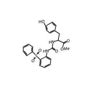 COC(=O)C(Cc1ccc(O)cc1)NC(=O)Nc1ccccc1S(=O)(=O)c1ccccc1